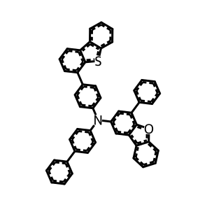 c1ccc(-c2ccc(N(c3ccc(-c4cccc5c4sc4ccccc45)cc3)c3cc(-c4ccccc4)c4oc5ccccc5c4c3)cc2)cc1